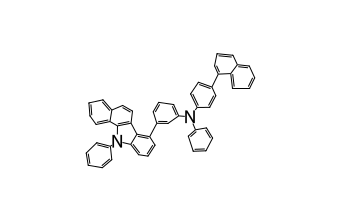 c1ccc(N(c2ccc(-c3cccc4ccccc34)cc2)c2cccc(-c3cccc4c3c3ccc5ccccc5c3n4-c3ccccc3)c2)cc1